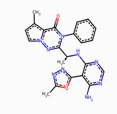 Cc1nnc(-c2c(N)ncnc2N[C@@H](C)c2nn3ccc(C)c3c(=O)n2-c2ccccc2)o1